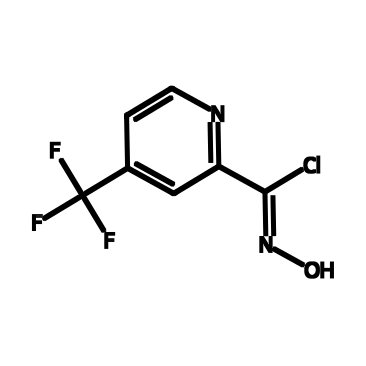 ON=C(Cl)c1cc(C(F)(F)F)ccn1